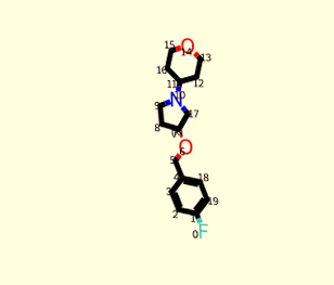 Fc1ccc(CO[C@@H]2CCN(C3CCOCC3)C2)cc1